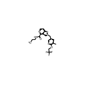 COCCNC(=O)c1nccc2nn(Cc3cnc(OCC(F)(F)F)c(C)c3)cc12